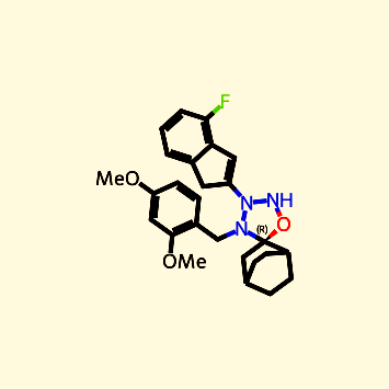 COc1ccc(CN2N(C3=Cc4c(F)cccc4C3)NO[C@@]23CC2CCC3CC2)c(OC)c1